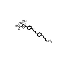 CCCCC[C@H]1CC[C@H](/C=C/COc2ccc(C3O[C@@H](C(=O)O)[C@H](C(=O)O)O3)cc2)CC1